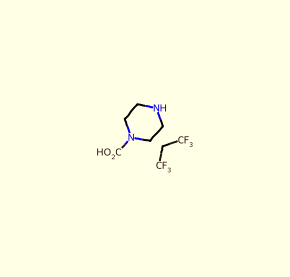 FC(F)(F)CC(F)(F)F.O=C(O)N1CCNCC1